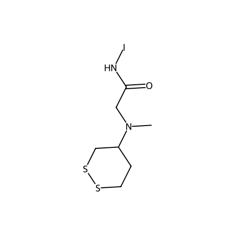 CN(CC(=O)NI)C1CCSSC1